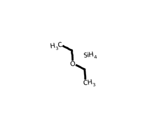 CCOCC.[SiH4]